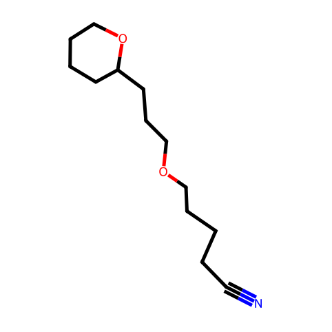 N#CCCCCOCCCC1CCCCO1